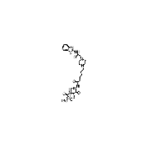 CC(C)(C)OC(=O)NC(CO)C(=O)NNC(=O)CCCCCN1CCN(CC(=O)Nc2nc3ccccc3s2)CC1